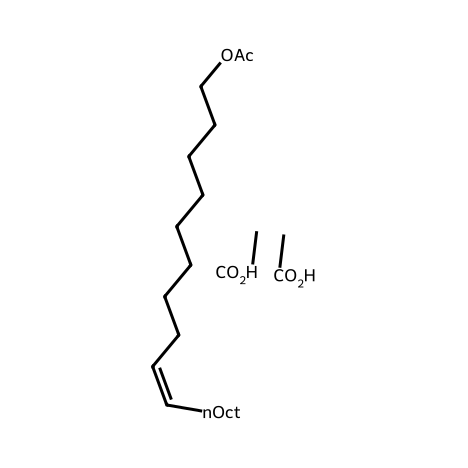 CC(=O)O.CC(=O)O.CCCCCCCC/C=C\CCCCCCCCOC(C)=O